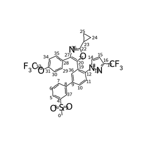 CS(=O)(=O)c1cccc(-c2ccc(-n3ccc(C(F)(F)F)n3)c(-c3oc(C4CC4)nc3-c3ccc(OC(F)(F)F)cc3)c2)c1